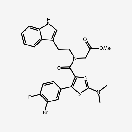 COC(=O)CN(CCc1c[nH]c2ccccc12)C(=O)c1nc(N(C)C)sc1-c1ccc(F)c(Br)c1